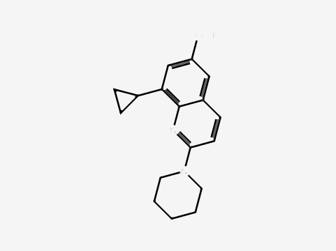 CCOC(=O)c1cc(C2CC2)c2nc(N3CCCCC3)ccc2c1